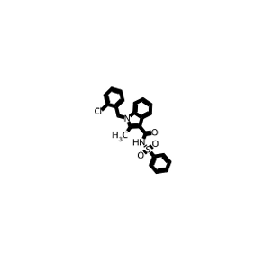 Cc1c(C(=O)NS(=O)(=O)c2ccccc2)c2ccccc2n1Cc1ccccc1Cl